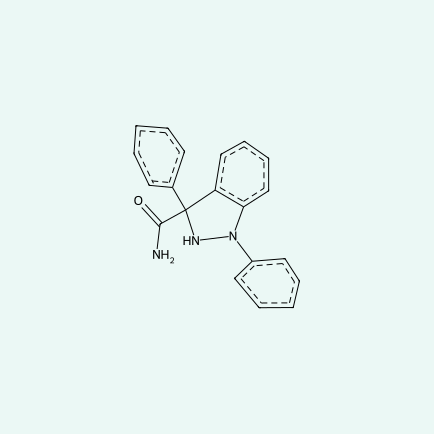 NC(=O)C1(c2ccccc2)NN(c2ccccc2)c2ccccc21